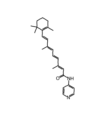 CC1=C(/C=C/C(C)=C/C=C/C(C)=C/C(=O)Nc2ccncc2)C(C)(C)CCC1